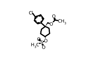 CC(=O)OC[C@]1(c2ccc(Cl)cc2)CC[C@@H](OS(C)(=O)=O)CC1